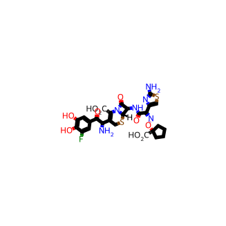 Nc1nc(/C(=N/OC2(C(=O)O)CCCC2)C(=O)NC2C(=O)N3C(C(=O)O)=C(C(N)C(=O)c4cc(O)c(O)c(F)c4)CS[C@@H]23)cs1